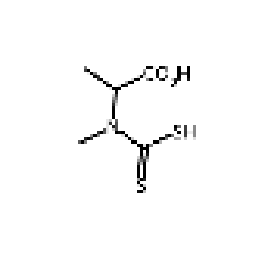 CC(C(=O)O)N(C)C(=S)S